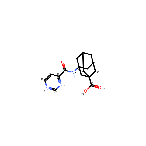 O=C(NC12CC3CC(C1)CC(C(=O)O)(C3)C2)c1ccncn1